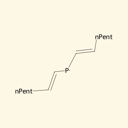 CCCCCC=C[P]C=CCCCCC